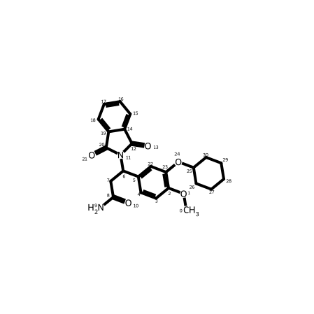 COc1ccc(C(CC(N)=O)N2C(=O)c3ccccc3C2=O)cc1OC1CCCCC1